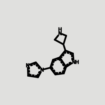 c1cn(-c2ccc3[nH]cc(C4CNC4)c3c2)cn1